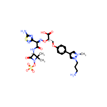 C[n+]1cc(-c2ccc(OC[C@H](O/N=C(\C(=O)N[C@@H]3C(=O)N(OS(=O)(=O)[O-])C3(C)C)c3nsc(N)n3)C(=O)O)cc2)cn1CCCN